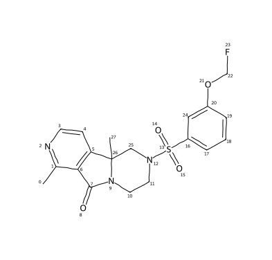 Cc1nccc2c1C(=O)N1CCN(S(=O)(=O)c3cccc(OCF)c3)CC21C